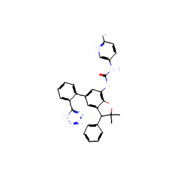 CC1(C)Oc2c(NC(=O)Nc3ccc(C(F)(F)F)nc3)cc(-c3ccccc3-c3nnn[nH]3)cc2C1c1ccccc1